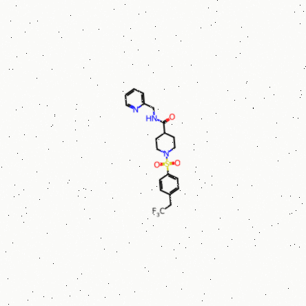 O=C(NCc1ccccn1)C1CCN(S(=O)(=O)c2ccc(CC(F)(F)F)cc2)CC1